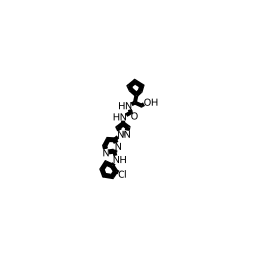 O=C(Nc1cnn(-c2ccnc(Nc3ccccc3Cl)n2)c1)NC(CO)c1ccccc1